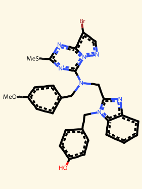 COc1ccc(CN(Cc2nc3ccccc3n2Cc2ccc(O)cc2)c2nc(SC)nc3c(Br)cnn23)cc1